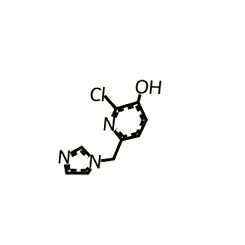 Oc1ccc(Cn2ccnc2)nc1Cl